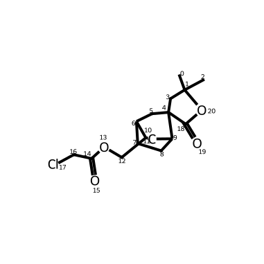 CC1(C)CC2(CC3CCC2CC3COC(=O)CCl)C(=O)O1